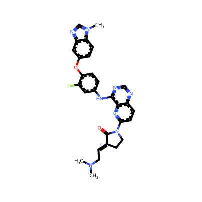 CN(C)C/C=C1\CCN(c2ccc3ncnc(Nc4ccc(Oc5ccc6c(c5)ncn6C)c(F)c4)c3n2)C1=O